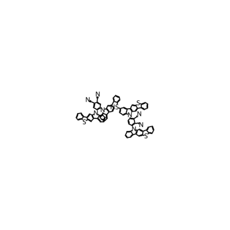 N#Cc1cc(-n2c3ccccc3c3cc4c(cc32)-c2ccccc2[SH]4c2ccc3c(c2)c2cc4sc5ccccc5c4cc2n3-c2ccc(-n3c4ccccc4c4cc5sc6ccccc6c5cc43)c(C#N)c2C#N)c(-n2c3ccccc3c3cc4sc5ccccc5c4cc32)cc1C#N